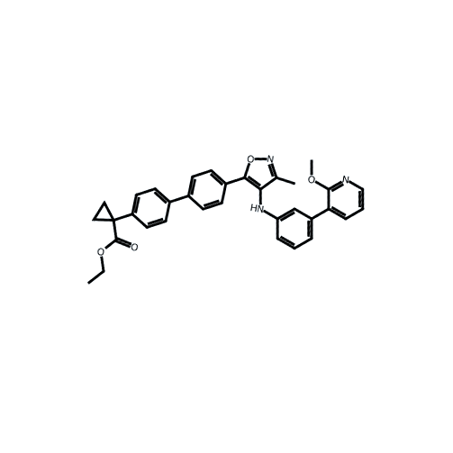 CCOC(=O)C1(c2ccc(-c3ccc(-c4onc(C)c4Nc4cccc(-c5cccnc5OC)c4)cc3)cc2)CC1